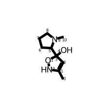 CC1=CC(O)(C2CCCN2C)ON1